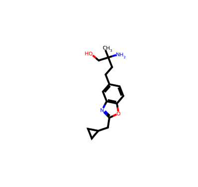 CC(N)(CO)CCc1ccc2oc(CC3CC3)nc2c1